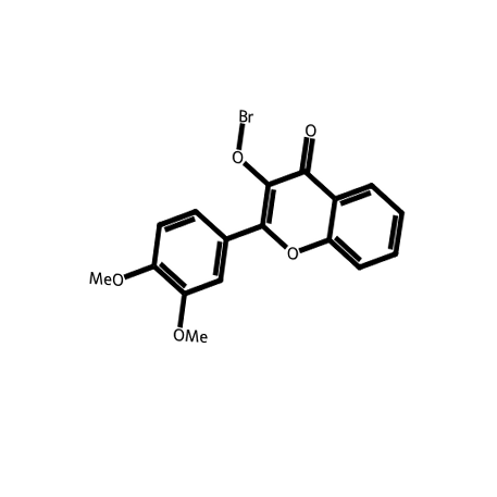 COc1ccc(-c2oc3ccccc3c(=O)c2OBr)cc1OC